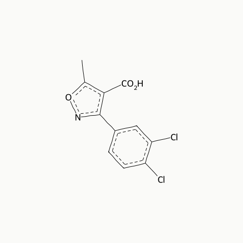 Cc1onc(-c2ccc(Cl)c(Cl)c2)c1C(=O)O